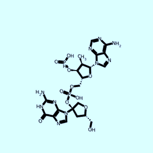 C[C@@H]1[C@H](O[PH](=O)O)[C@@H](COP(=O)(O)O[C@@]2(n3cnc4c(=O)[nH]c(N)nc43)CO[C@H](CO)C2)O[C@H]1n1cnc2c(N)ncnc21